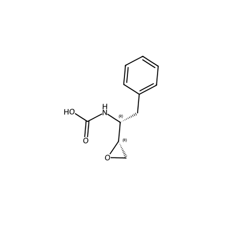 O=C(O)N[C@H](Cc1ccccc1)[C@@H]1CO1